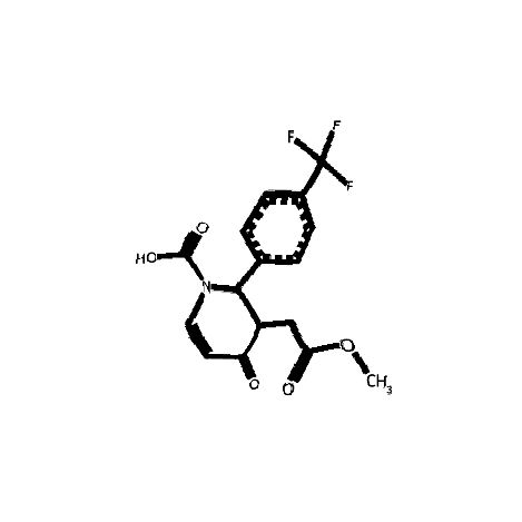 COC(=O)CC1C(=O)C=CN(C(=O)O)C1c1ccc(C(F)(F)F)cc1